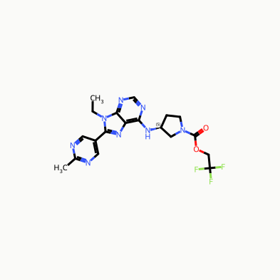 CCn1c(-c2cnc(C)nc2)nc2c(N[C@H]3CCN(C(=O)OCC(F)(F)F)C3)ncnc21